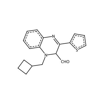 O=CC1C(c2cccs2)=Nc2ccccc2N1CC1CCC1